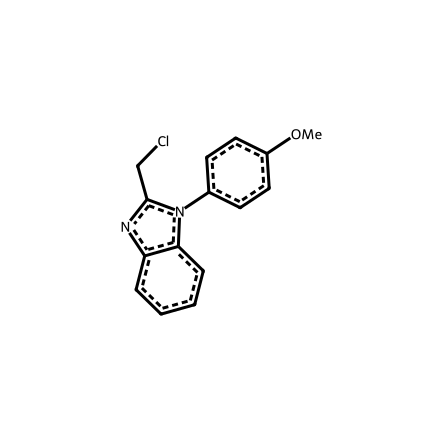 COc1ccc(-n2c(CCl)nc3ccccc32)cc1